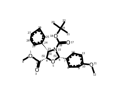 COC(=O)[C@H]1O[C@@H](c2ccc(OC)cc2)N(C(=O)OC(C)(C)C)[C@H]1c1ccccc1